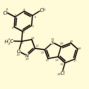 CC1(c2cc(Cl)cc(Cl)c2)CC(c2cc3c(Cl)cccc3s2)=NO1